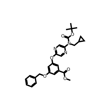 COC(=O)c1cc(OCc2ccccc2)cc(Oc2cnc(N(CC3CC3)C(=O)OC(C)(C)C)cn2)c1